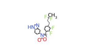 CC(F)(F)CCc1ccc([C@H]2COC(=O)N2c2ccc3[nH]cnc3c2)c(F)c1F